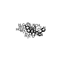 CC(C)[C@@H](C)[C@@]1(C)CC[C@]2(C)[C@H]3CC[C@H]4C(C)([C@@H](OC[C@](C)(N)C(C)(C)C)[C@@H](C)n5ncnc5-c5ccncc5)CO[C@@H](C)C4(C)C3=CC[C@@]2(C)[C@@H]1C(=O)O